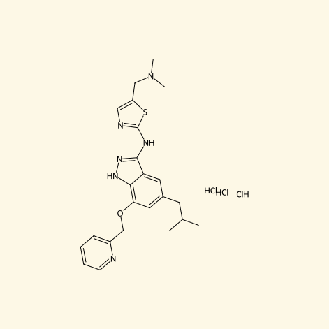 CC(C)Cc1cc(OCc2ccccn2)c2[nH]nc(Nc3ncc(CN(C)C)s3)c2c1.Cl.Cl.Cl